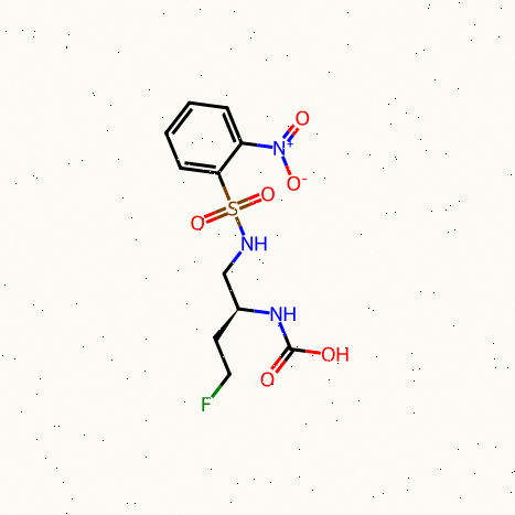 O=C(O)N[C@@H](CCF)CNS(=O)(=O)c1ccccc1[N+](=O)[O-]